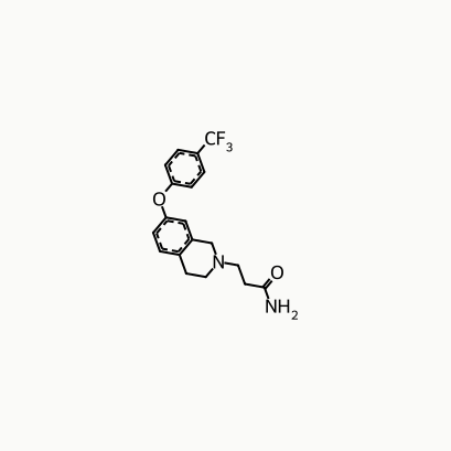 NC(=O)CCN1CCc2ccc(Oc3ccc(C(F)(F)F)cc3)cc2C1